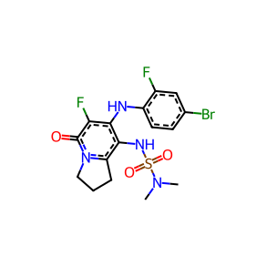 CN(C)S(=O)(=O)Nc1c(Nc2ccc(Br)cc2F)c(F)c(=O)n2c1CCC2